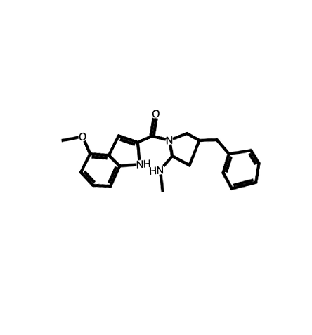 CNC1CC(Cc2ccccc2)CN1C(=O)c1cc2c(OC)cccc2[nH]1